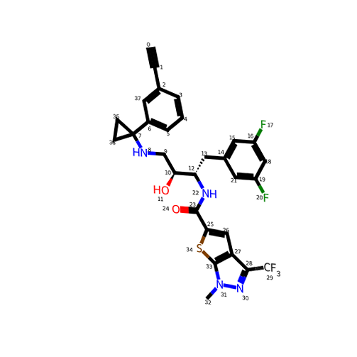 C#Cc1cccc(C2(NC[C@H](O)[C@H](Cc3cc(F)cc(F)c3)NC(=O)c3cc4c(C(F)(F)F)nn(C)c4s3)CC2)c1